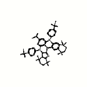 CC(C)c1cc2c3c(c1)N(c1ccc(C(C)(C)C)cc1)c1c(oc4c1C(C)(C)CCC4(C)C)B3c1cc3c(cc1N2c1ccc(C(C)(C)C)cc1)C(C)(C)CCC3(C)C